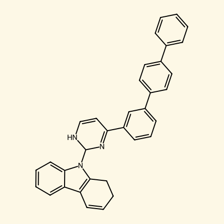 C1=Cc2c(n(C3N=C(c4cccc(-c5ccc(-c6ccccc6)cc5)c4)C=CN3)c3ccccc23)CC1